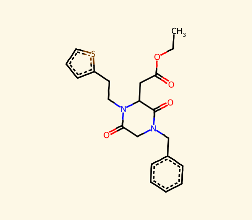 CCOC(=O)CC1C(=O)N(Cc2ccccc2)CC(=O)N1CCc1cccs1